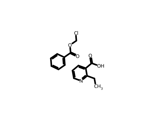 CCc1ncccc1C(=O)O.O=C(OCCl)c1ccccc1